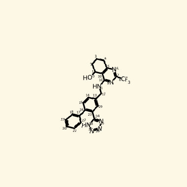 OC1CCCc2nc(C(F)(F)F)nc(NCc3ccc(-c4ccccc4)c(-c4nnn[nH]4)c3)c21